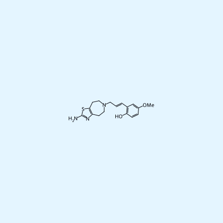 COc1ccc(O)c(C=CCN2CCc3nc(N)sc3CC2)c1